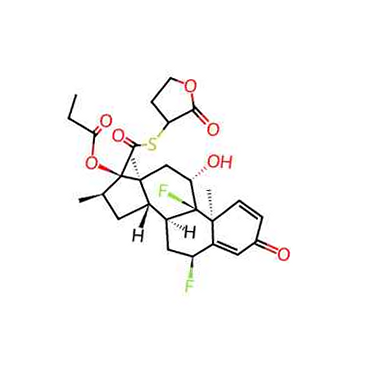 CCC(=O)O[C@]1(C(=O)SC2CCOC2=O)[C@H](C)C[C@H]2[C@@H]3C[C@H](F)C4=CC(=O)C=C[C@]4(C)[C@@]3(F)[C@@H](O)C[C@@]21C